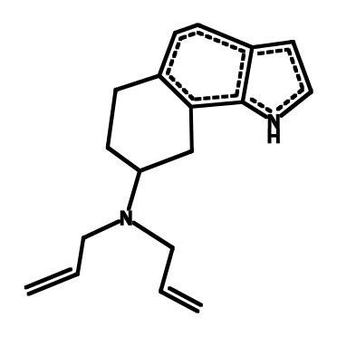 C=CCN(CC=C)C1CCc2ccc3cc[nH]c3c2C1